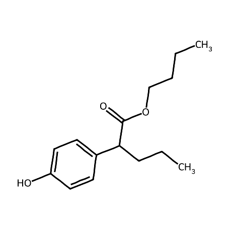 CCCCOC(=O)C(CCC)c1ccc(O)cc1